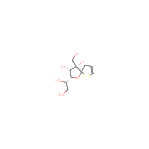 OCC(O)[C@H]1OC2(CC=CS2)[C@](O)(CO)[C@H]1O